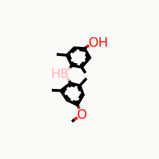 COc1cc(C)c(Bc2c(C)cc(O)cc2C)c(C)c1